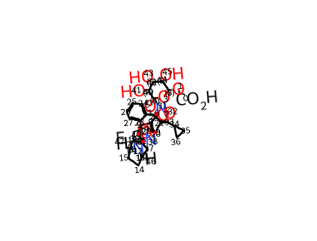 O=C(O)O[C@@H]1O[C@@H](OC(=O)c2ccc(N3[C@@H]4CC[C@H]3C[C@@H](OCc3c(-c5ccccc5OC(F)(F)F)noc3C3CC3)C4)nc2)[C@H](O)[C@H](O)[C@@H]1O